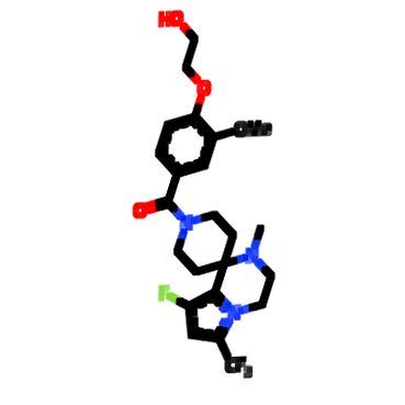 COc1cc(C(=O)N2CCC3(CC2)c2c(F)cc(C(F)(F)F)n2CCN3C)ccc1OCCO